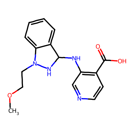 COCCN1NC(Nc2cnccc2C(=O)O)c2ccccc21